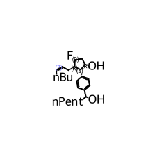 CCCC/C=C\C[C@@H]1[C@@H](c2ccc(C(O)CCCCC)cc2)[C@H](O)C[C@H]1F